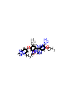 COc1cc2c(cc1N)C(N)(c1cc(C)c(Oc3ccn4ncnc4c3)cc1OC)NC=N2